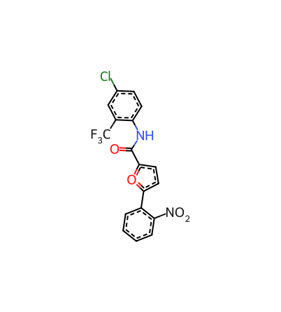 O=C(Nc1ccc(Cl)cc1C(F)(F)F)c1ccc(-c2ccccc2[N+](=O)[O-])o1